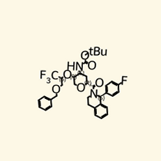 CC(C)(C)OC(=O)N[C@H]1C[C@H](C(=O)N2CCc3ccccc3[C@@H]2c2ccc(F)cc2)OC[C@@H]1O[C@@H](COCc1ccccc1)C(F)(F)F